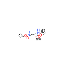 CC(C)(C)OC(=O)[C@H](CCCCNC(=O)OCc1ccccc1)NC(=O)C12CC3CC(CC(C3)C1)C2